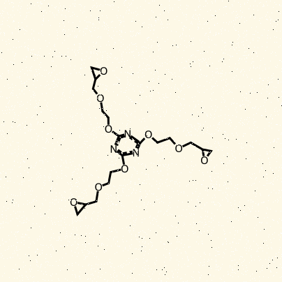 C(COc1nc(OCCOCC2CO2)nc(OCCOCC2CO2)n1)OCC1CO1